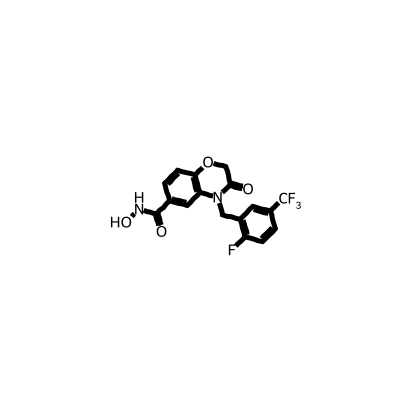 O=C(NO)c1ccc2c(c1)N(Cc1cc(C(F)(F)F)ccc1F)C(=O)CO2